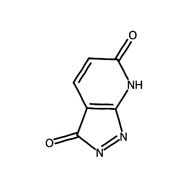 O=C1N=Nc2[nH]c(=O)ccc21